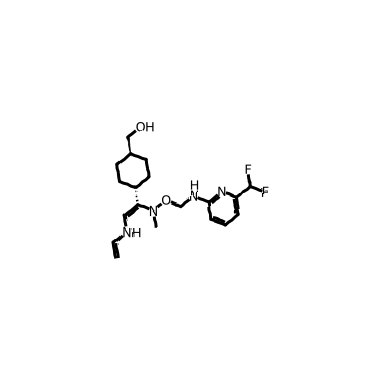 C=CN/C=C(/[C@H]1CC[C@H](CO)CC1)N(C)OCNc1cccc(C(F)F)n1